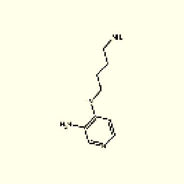 NCCCCNc1ccncc1N